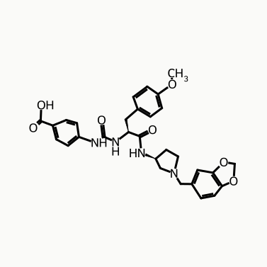 COc1ccc(C[C@H](NC(=O)Nc2ccc(C(=O)O)cc2)C(=O)N[C@H]2CCN(Cc3ccc4c(c3)OCO4)C2)cc1